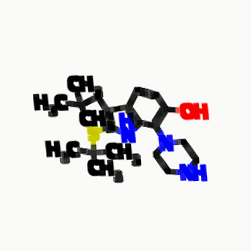 CC(C)(C)Cc1c(SC(C)(C)C)[nH]c2c(N3CCNCC3)c(O)ccc12